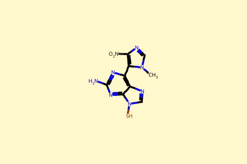 Cn1cnc([N+](=O)[O-])c1-c1nc(N)nc2c1ncn2S